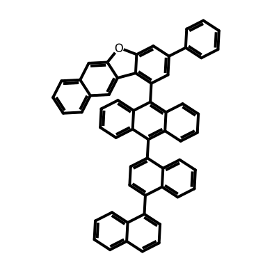 c1ccc(-c2cc(-c3c4ccccc4c(-c4ccc(-c5cccc6ccccc56)c5ccccc45)c4ccccc34)c3c(c2)oc2cc4ccccc4cc23)cc1